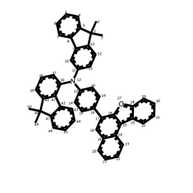 CC1(C)c2ccccc2-c2cc(N(c3ccc(-c4cc5ccccc5c5c4oc4ccccc45)cc3)c3cccc4c3-c3ccccc3C4(C)C)ccc21